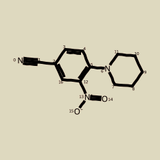 N#Cc1ccc(N2CCCCC2)c([N+](=O)[O-])c1